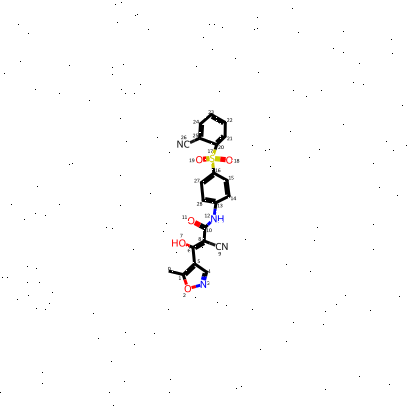 Cc1oncc1/C(O)=C(\C#N)C(=O)Nc1ccc(S(=O)(=O)c2ccccc2C#N)cc1